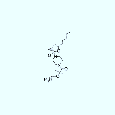 CCCCCC(C)OP(=O)(N(C)C)N1CCN(C(=O)C(C)(C)OCN)CC1